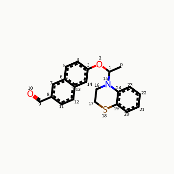 CC(Oc1ccc2cc(C=O)ccc2c1)N1CCSc2ccccc21